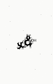 CCC1(CC)COC2(CC(C)(C)N(O)C(CC)(CC)C2)OC1